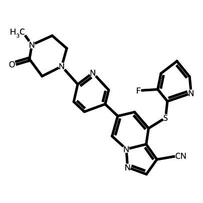 CN1CCN(c2ccc(-c3cc(Sc4ncccc4F)c4c(C#N)cnn4c3)cn2)CC1=O